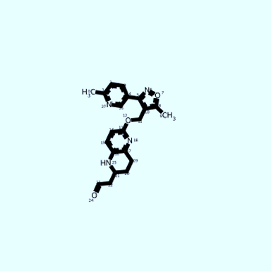 Cc1ccc(-c2noc(C)c2COc2ccc3c(n2)CCC(CC=O)N3)cn1